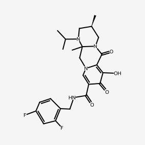 CC(C)N1C[C@@H](C)CN2C(=O)c3c(O)c(=O)c(C(=O)NCc4ccc(F)cc4F)cn3CC21C